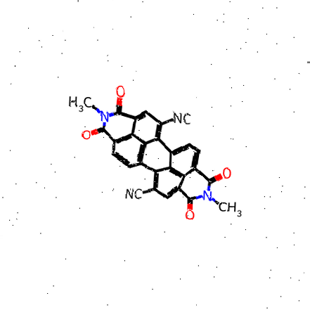 [C-]#[N+]c1cc2c3c(ccc4c5c(C#N)cc6c7c(ccc(c1c34)c75)C(=O)N(C)C6=O)C(=O)N(C)C2=O